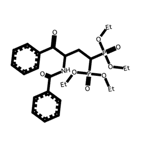 CCOP(=O)(OCC)C(CC(NC(=O)c1ccccc1)C(=O)c1ccccc1)P(=O)(OCC)OCC